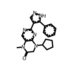 CN1C(=O)CN(C2CCCC2)c2nc(-c3cn[nH]c3-c3ccccc3)ncc21